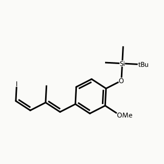 COc1cc(/C=C(C)/C=C\I)ccc1O[Si](C)(C)C(C)(C)C